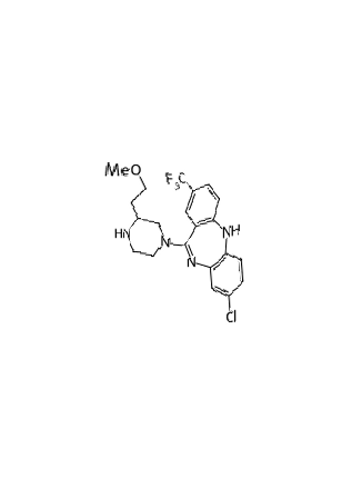 COCCC1CN(C2=Nc3cc(Cl)ccc3Nc3ccc(C(F)(F)F)cc32)CCN1